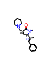 C/C(=C\c1ccccc1)[C@H]1C[C@@H](CN2CCCCC2)C(=O)N1C